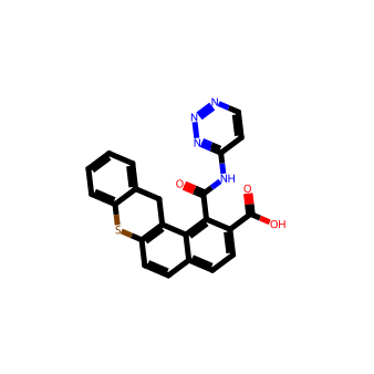 O=C(O)c1ccc2ccc3c(c2c1C(=O)Nc1ccnnn1)Cc1ccccc1S3